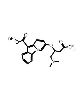 CCCOC(=O)c1c2ccccc2n2cc(OC(CC(=O)C(F)(F)F)CN(C)C)ccc12